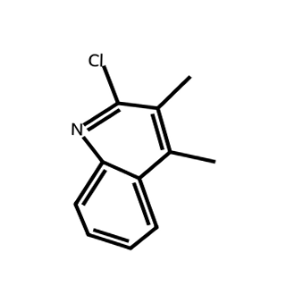 Cc1c(Cl)nc2ccccc2c1C